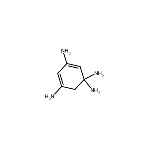 NC1=CC(N)(N)CC(N)=C1